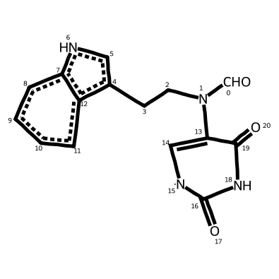 O=CN(CCc1c[nH]c2ccccc12)C1=C[N]C(=O)NC1=O